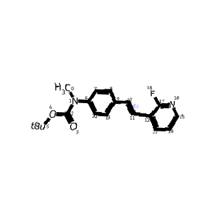 CN(C(=O)OC(C)(C)C)c1ccc(/C=C/c2cccnc2F)cc1